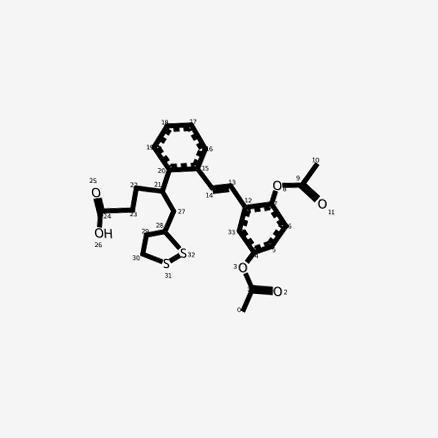 CC(=O)Oc1ccc(OC(C)=O)c(/C=C/c2ccccc2C(CCC(=O)O)CC2CCSS2)c1